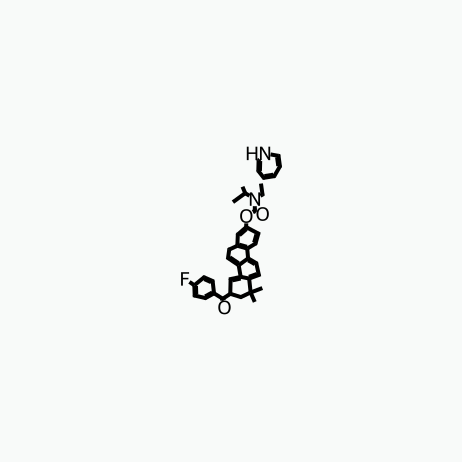 C1=CC=CNC=C1.CCN(C(=O)Oc1ccc2c(c1)CC=c1c-2ccc2c1=CC(C(=O)c1ccc(F)cc1)CC2(C)C)C(C)C